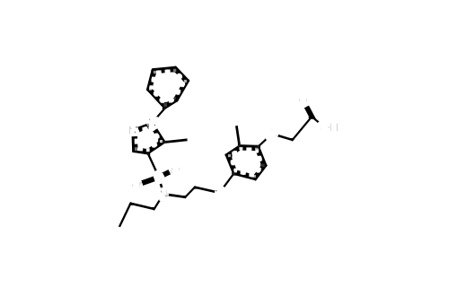 CCCN(CCSc1ccc(OCC(=O)O)c(C)c1)S(=O)(=O)c1cnn(-c2ccccc2)c1C